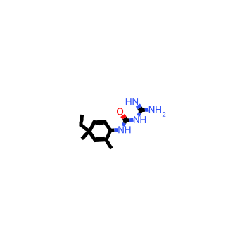 CCC1(C)C=CC(NC(=O)NC(=N)N)C(C)=C1